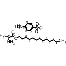 CCCCCCCCCCCCCOC(=O)[C@H](C)N.Cc1ccc(S(=O)(=O)O)cc1.N